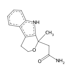 CC1(CC(N)=O)OCCc2c1[nH]c1ccccc21